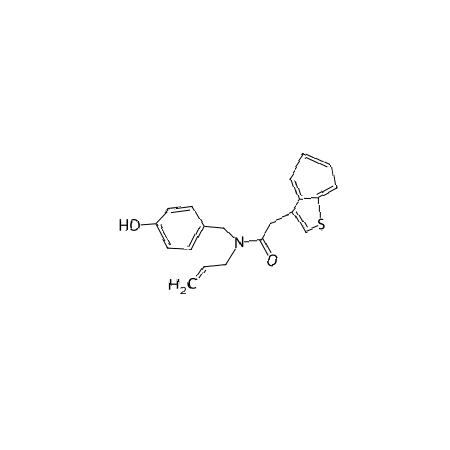 C=CCN(Cc1ccc(O)cc1)C(=O)Cc1csc2ccccc12